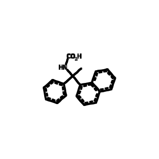 CC(NC(=O)O)(c1ccccc1)c1cccc2ccccc12